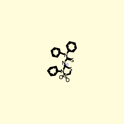 O=S1(=O)CS/C(=N\C(=S)N(c2ccccc2)c2ccccc2)N1c1ccccc1